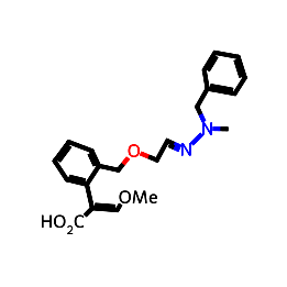 CO/C=C(/C(=O)O)c1ccccc1COC/C=N/N(C)Cc1ccccc1